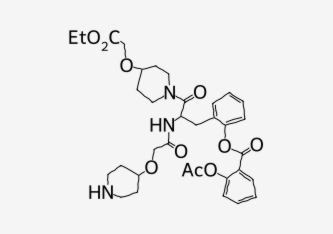 CCOC(=O)COC1CCN(C(=O)C(Cc2ccccc2OC(=O)c2ccccc2OC(C)=O)NC(=O)COC2CCNCC2)CC1